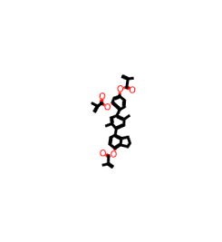 C=C(C)C(=O)Oc1ccc(-c2cc(C)c(-c3ccc(OC(=O)C(=C)C)c4c3CCC4)cc2C)c(OC(=O)C(=C)C)c1